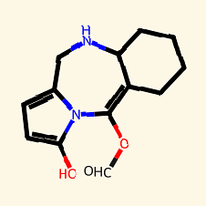 O=COC1=C2CCCCC2NCc2ccc(O)n21